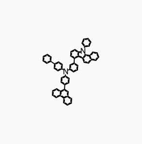 c1ccc(-c2ccc(N(c3ccc(-c4cc5ccccc5c5ccccc45)cc3)c3cccc(-c4cccc5c4c4ccc6ccccc6c4n5-c4ccccc4)c3)cc2)cc1